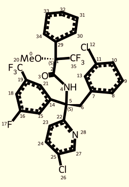 CO[C@](C(=O)N[C@@](Cc1cccc(Cl)c1)(c1cc(F)cc(C(F)(F)F)c1)c1ccc(Cl)cn1)(c1ccccc1)C(F)(F)F